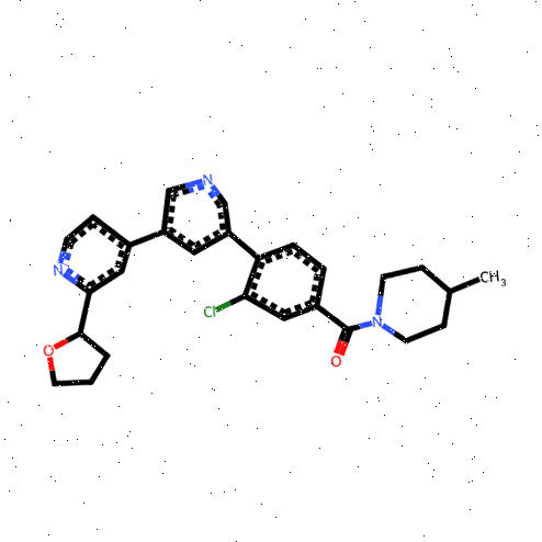 CC1CCN(C(=O)c2ccc(-c3cncc(-c4ccnc(C5CCCO5)c4)c3)c(Cl)c2)CC1